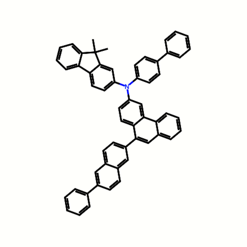 CC1(C)c2ccccc2-c2ccc(N(c3ccc(-c4ccccc4)cc3)c3ccc4c(-c5ccc6cc(-c7ccccc7)ccc6c5)cc5ccccc5c4c3)cc21